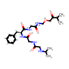 CC(C)NCC(=O)NCC(=O)N[C@@H](Cc1ccccc1)C(=O)NCC(=O)NCOCC(=O)C(C)C